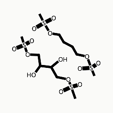 CS(=O)(=O)OCC(O)C(O)COS(C)(=O)=O.CS(=O)(=O)OCCCCOS(C)(=O)=O